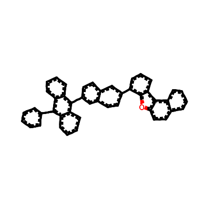 c1ccc(-c2c3ccccc3c(-c3ccc4cc(-c5cccc6c5oc5ccc7ccccc7c56)ccc4c3)c3ccccc23)cc1